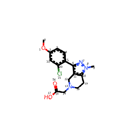 COc1ccc(-c2nn(C)c3c2CN(CC(=O)O)CC3)c(Cl)c1